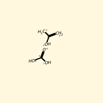 C=C(C)O.O=C(O)O